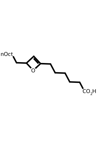 CCCCCCCCCC1C=C(CCCCCC(=O)O)O1